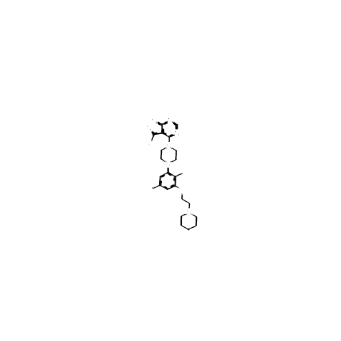 Cc1c(OCCN2CCCCC2)cc(Cl)cc1N1CCN(c2ncnc3[nH]nc(Br)c23)CC1